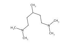 CC(CCN(C)C)CCN(C)C